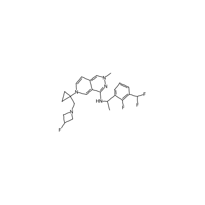 CC(NC1=NN(C)C=C2C=CN(C3(CN4CC(F)C4)CC3)C=C21)c1cccc(C(F)F)c1F